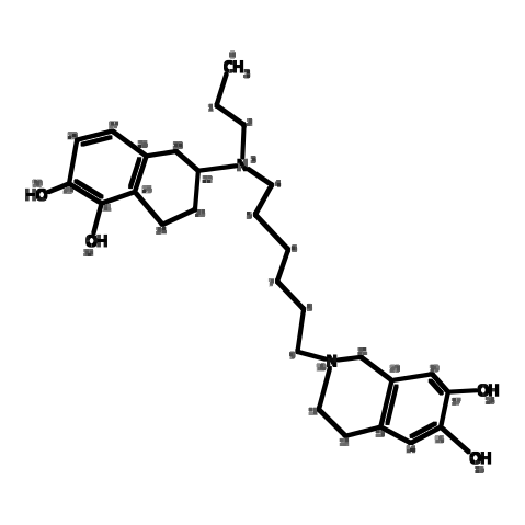 CCCN(CCCCCCN1CCc2cc(O)c(O)cc2C1)C1CCc2c(ccc(O)c2O)C1